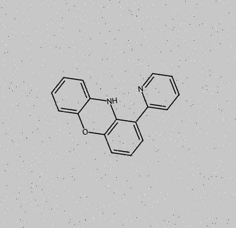 c1ccc(-c2cccc3c2Nc2ccccc2O3)nc1